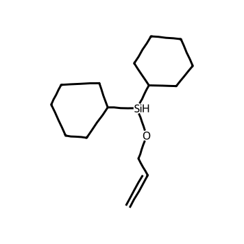 C=CCO[SiH](C1CCCCC1)C1CCCCC1